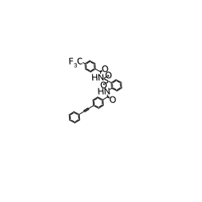 O=C(Nc1ccccc1S(=O)(=O)NC(=O)c1ccc(C(F)(F)F)cc1)c1ccc(C#Cc2ccccc2)cc1